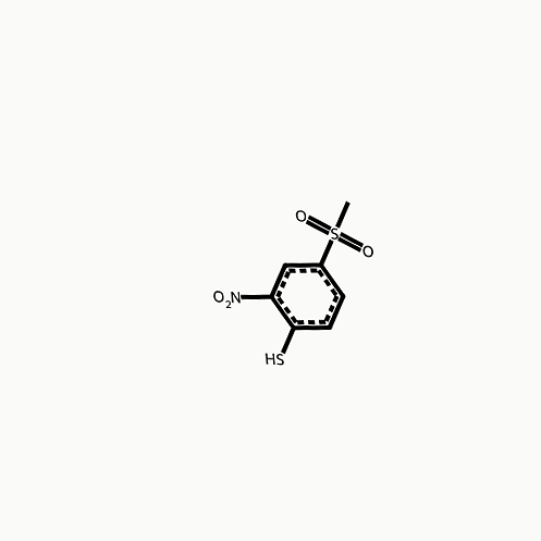 CS(=O)(=O)c1ccc(S)c([N+](=O)[O-])c1